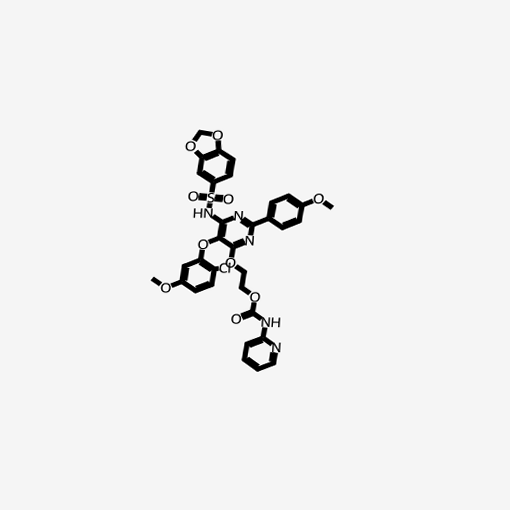 COc1ccc(-c2nc(NS(=O)(=O)c3ccc4c(c3)OCO4)c(Oc3cc(OC)ccc3Cl)c(OCCOC(=O)Nc3ccccn3)n2)cc1